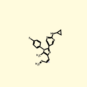 C=N/C=C\c1nc(-c2cnc(NC3CC3)nc2)n(-c2ccc(F)cc2)c1C